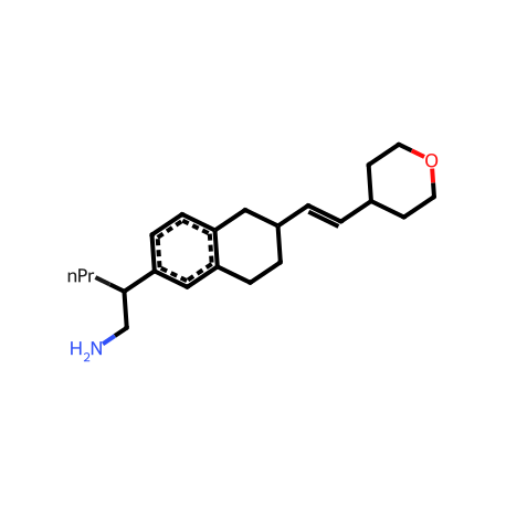 CCCC(CN)c1ccc2c(c1)CCC(/C=C/C1CCOCC1)C2